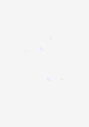 CC(C)(C)N(CCN(C(C)(C)C)C(C)(C)C)C(C)(C)C